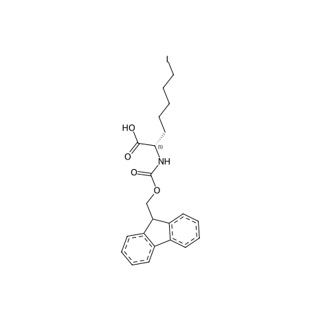 O=C(N[C@@H](CCCCCI)C(=O)O)OCC1c2ccccc2-c2ccccc21